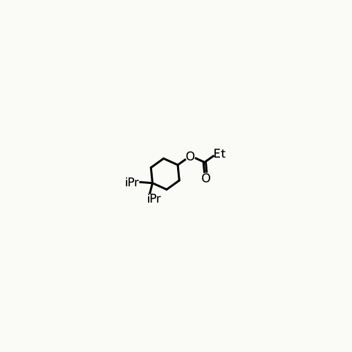 CCC(=O)OC1CCC(C(C)C)(C(C)C)CC1